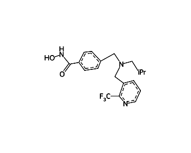 CC(C)CN(Cc1ccc(C(=O)NO)cc1)Cc1cccnc1C(F)(F)F